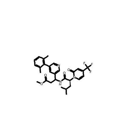 COC(=O)CC(NC(=O)[C@H](CC(C)C)n1ccc(C(F)(F)F)cc1=O)c1cncc(-c2c(C)cccc2C)c1